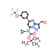 CC(C)(C)OC(=O)N(c1cc(-c2cccc(OC(F)(F)F)c2)nc2c(C=O)cnn12)C1CC1